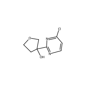 OC1(c2nccc(Cl)n2)CCOC1